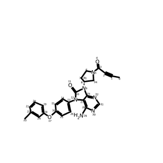 CC#CC(=O)N1CC[C@@H](n2c(=O)n(-c3ccc(Oc4cccc(C)c4)cc3)c3c(N)ncnc32)C1